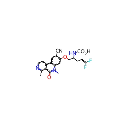 Cc1nccc2c1c(=O)n(C)c1cc(OCC(CC=C(F)F)NC(=O)O)c(C#N)cc21